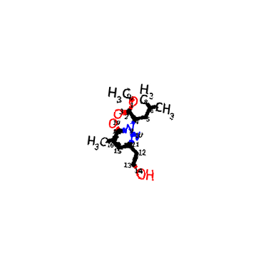 COC(=O)C(CC(C)C)n1nc(CCO)cc(C)c1=O